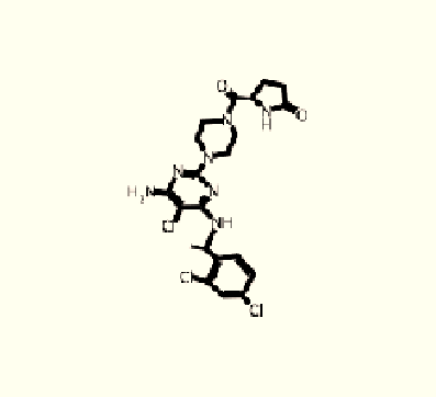 C[C@@H](Nc1nc(N2CCN(C(=O)[C@H]3CCC(=O)N3)CC2)nc(N)c1Cl)c1ccc(Cl)cc1Cl